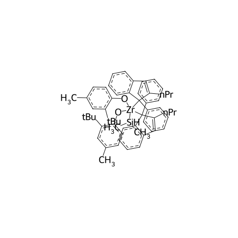 CCCC1=Cc2ccccc2[C]1(c1ccccc1)[Zr]([O]c1ccc(C)cc1C(C)(C)C)([O]c1ccc(C)cc1C(C)(C)C)([SiH](C)C)[C]1(c2ccccc2)C(CCC)=Cc2ccccc21